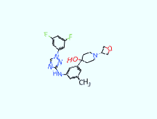 Cc1cc(Nc2ncn(-c3cc(F)cc(F)c3)n2)cc(C2(O)CCN(C3COC3)CC2)c1